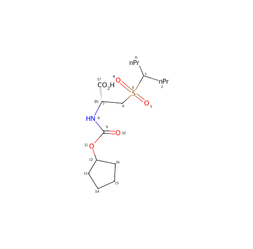 CCCC(CCC)S(=O)(=O)C[C@H](NC(=O)OC1CCCC1)C(=O)O